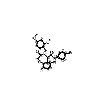 COc1ccc(CN2C(=O)COc3c(C)ccc(C)c3C2C(=O)Nc2ccc(Br)cc2)c(OC)c1